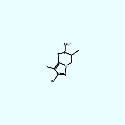 CC1Cn2nc(Br)c(I)c2CN1C(=O)O